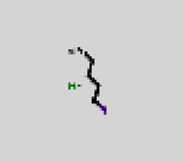 CCCCCCCI.F